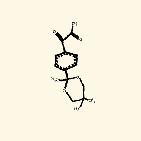 CC1(C)COC(C)(c2ccc(C(=O)C(=O)O)cc2)OC1